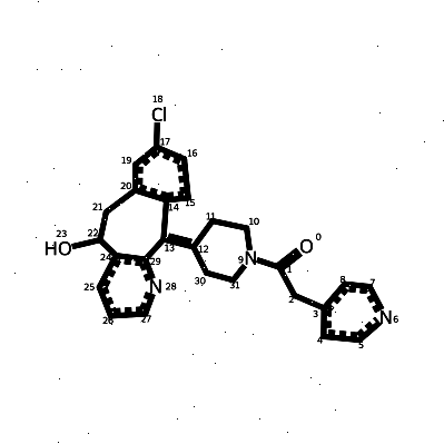 O=C(Cc1ccncc1)N1CCC(=C2c3ccc(Cl)cc3CC(O)c3cccnc32)CC1